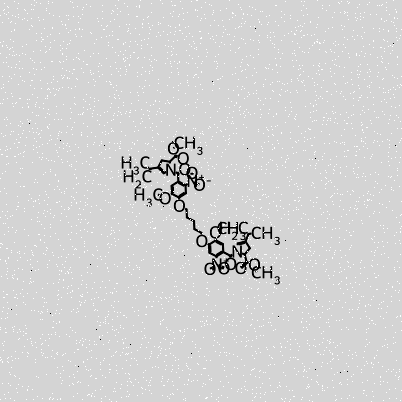 C=C(C)C1=CN(C(=O)c2cc(OC)c(OCCCCCOc3cc([N+](=O)[O-])c(C(=O)N4C=C(C(=C)C)CC4C(=O)OC)cc3OC)cc2[N+](=O)[O-])C(C(=O)OC)C1